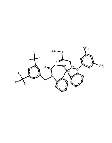 COC(=O)C[C@@H](Oc1nc(C)cc(C)n1)[C@@]1(c2ccccc2)NCC(=O)N(Cc2cc(C(F)(F)F)cc(C(F)(F)F)c2)c2ccccc21